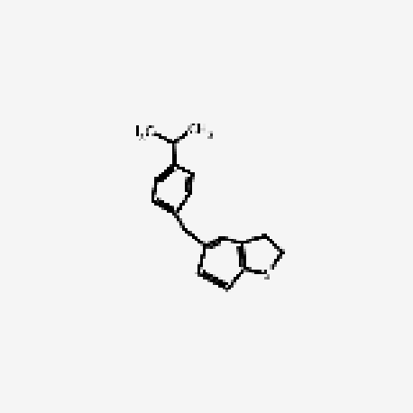 CC(C)c1ccc(Cc2ccc3c(c2)CCS3)cc1